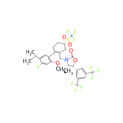 COc1cc(F)c(C(C)C)cc1C1=C(CN2C(=O)O[C@H](c3cc(C(F)(F)F)cc(C(F)(F)F)c3)[C@@H]2C)CC(S(=O)(=O)C(F)(F)F)CC1